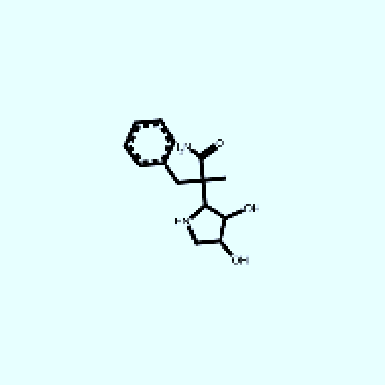 CC(Cc1ccccc1)(C(N)=O)C1NCC(O)C1O